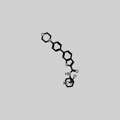 O=C(N[C@H]1CN2CCC1CC2)c1cc2ccc(-c3ccc(N4CCOCC4)cc3)cc2s1